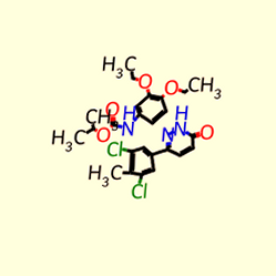 CCOc1ccc(NC(=O)OC(C)C)cc1OCC.Cc1c(Cl)cc(-c2ccc(=O)[nH]n2)cc1Cl